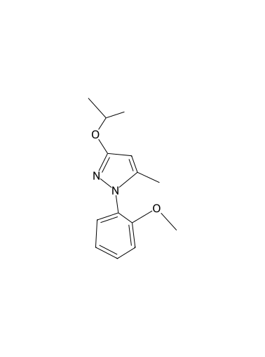 COc1ccccc1-n1nc(OC(C)C)cc1C